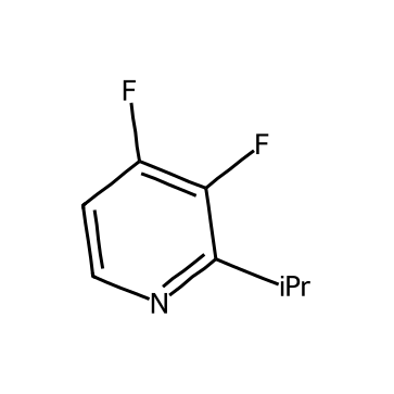 CC(C)c1nccc(F)c1F